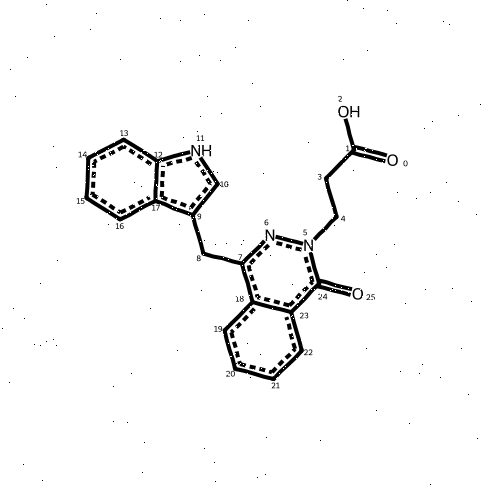 O=C(O)CCn1nc(Cc2c[nH]c3ccccc23)c2ccccc2c1=O